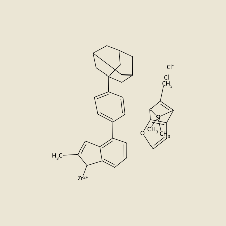 CC1=C2c3ccoc3C1[Si]2(C)C.CC1=Cc2c(-c3ccc(C45CC6CC(CC(C6)C4)C5)cc3)cccc2[CH]1[Zr+2].[Cl-].[Cl-]